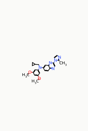 COc1cc(OC)cc(N(CC2CC2)c2ccc3ncc(-n4ccnc4C)nc3c2)c1